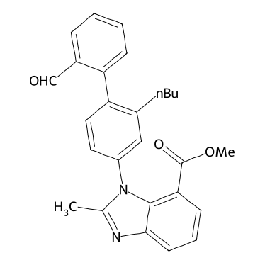 CCCCc1cc(-n2c(C)nc3cccc(C(=O)OC)c32)ccc1-c1ccccc1C=O